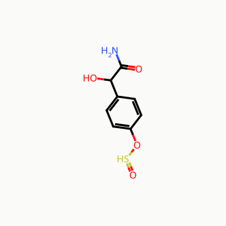 NC(=O)C(O)c1ccc(O[SH]=O)cc1